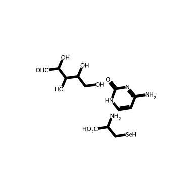 NC(C[SeH])C(=O)O.Nc1cc[nH]c(=O)n1.O=CC(O)C(O)C(O)CO